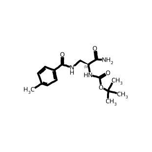 Cc1ccc(C(=O)NC[C@H](NC(=O)OC(C)(C)C)C(N)=O)cc1